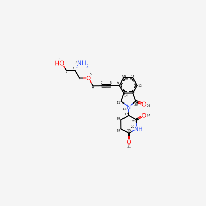 N[C@@H](CO)COCC#Cc1cccc2c1CN(C1CCC(=O)NC1=O)C2=O